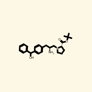 CC(C)(C)OC(=O)[C@@H]1CCCN1C[C@@H](N)Cc1ccc(C(O)c2ccccc2)cc1